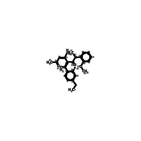 CCc1ccc(/C(C)=C(C(=O)N(C)c2ccccc2OC)/C(C)=C\C(C)=O)c(F)c1